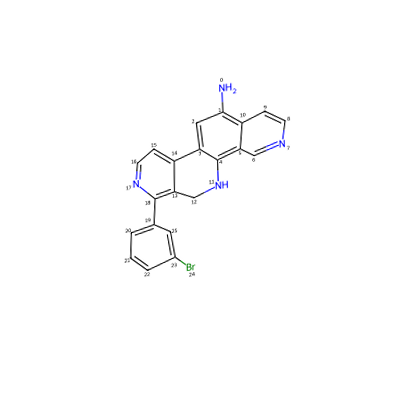 Nc1cc2c(c3cnccc13)NCc1c-2ccnc1-c1cccc(Br)c1